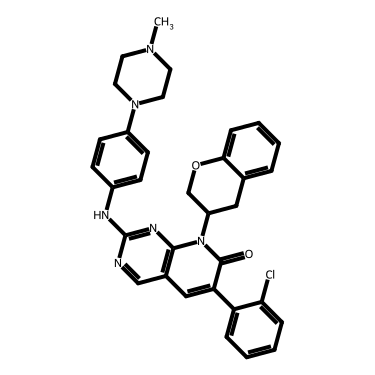 CN1CCN(c2ccc(Nc3ncc4cc(-c5ccccc5Cl)c(=O)n(C5COc6ccccc6C5)c4n3)cc2)CC1